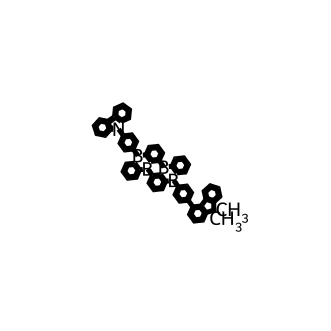 CC1(C)c2ccccc2-c2c(-c3ccc(B4c5ccccc5B5c6cccc7c6B(c6ccccc6B7c6ccc(-n7c8ccccc8c8ccccc87)cc6)c6cccc4c65)cc3)cccc21